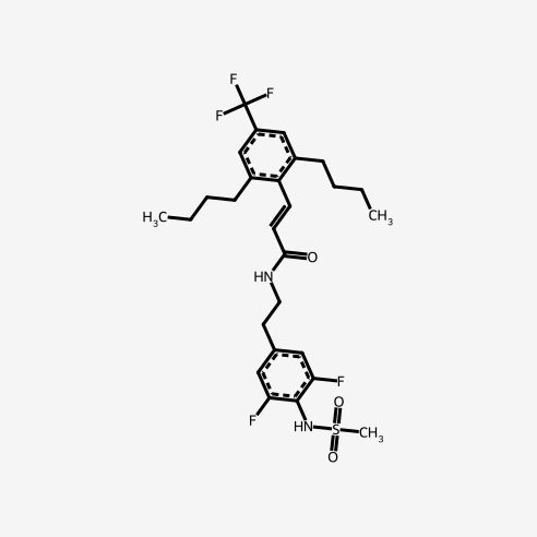 CCCCc1cc(C(F)(F)F)cc(CCCC)c1C=CC(=O)NCCc1cc(F)c(NS(C)(=O)=O)c(F)c1